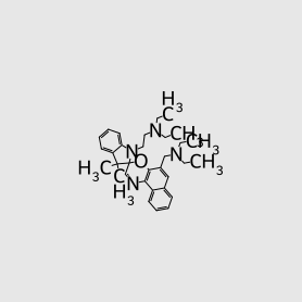 CCN(CC)CCN1c2ccccc2C(C)(C)C12C=Nc1c(c(CN(CC)CC)cc3ccccc13)O2